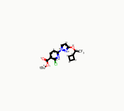 CC(C)(C)OC(=O)c1ccc(-n2ccc(OC(C3CCC3)C(F)(F)F)n2)nc1Cl